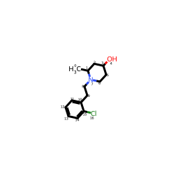 CC1CC(O)CCN1CCc1ccccc1Cl